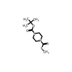 CSC(=S)N1CCN(C(=O)OC(C)(C)C)CC1